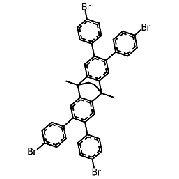 CC12CCC(C)(c3cc(-c4ccc(Br)cc4)c(-c4ccc(Br)cc4)cc31)c1cc(-c3ccc(Br)cc3)c(-c3ccc(Br)cc3)cc12